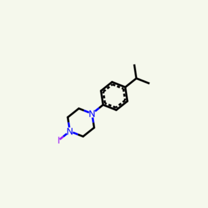 CC(C)c1ccc(N2CCN(I)CC2)cc1